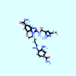 CCn1nc(C)cc1C(=O)Nc1nc2cc(C(N)=O)cc3c2n1[C@H](CCCNc1ccc(C(N)=O)cc1N)CO3